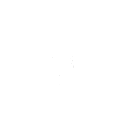 CCCOc1cc(F)cc(C(C)=O)c1